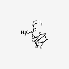 C[CH]OC(C)OC12CC3CC(CC(C3)C1)C2